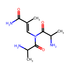 CC(=CN(C(=O)C(C)N)C(=O)C(C)N)C(N)=O